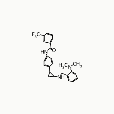 CN(C)c1ccccc1CNC1CC1c1ccc(NC(=O)c2cccc(C(F)(F)F)c2)cc1